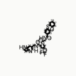 O=C(NCC(=O)N1C[C@H](OC(F)F)C[C@H]1C(=O)NCc1cnc2cc[nH]c2c1)c1ccc2c(c1)Oc1ccccc1S2